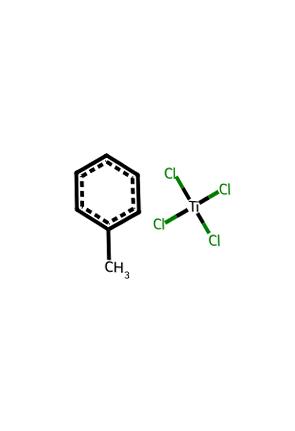 Cc1ccccc1.[Cl][Ti]([Cl])([Cl])[Cl]